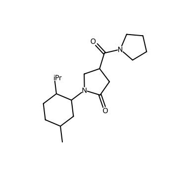 CC1CCC(C(C)C)C(N2CC(C(=O)N3CCCC3)CC2=O)C1